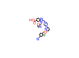 N#Cc1ccc(COc2cccc(N3CCN(Cc4nc5ccc(C(=O)O)cc5n4Cc4ncco4)CC3)n2)c(F)c1